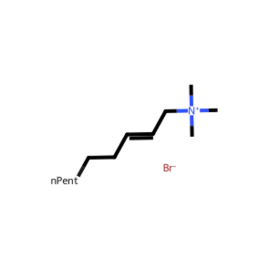 CCCCCCCC=CC[N+](C)(C)C.[Br-]